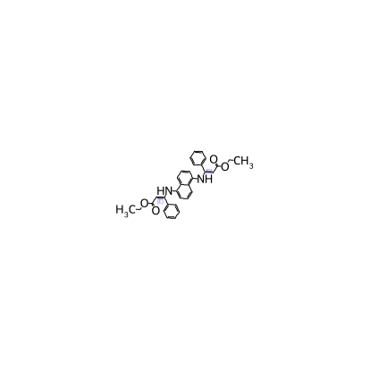 CCOC(=O)/C=C(/Nc1cccc2c(N/C(=C/C(=O)OCC)c3ccccc3)cccc12)c1ccccc1